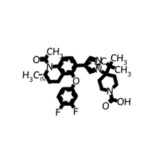 CC(=O)N1c2ccc(-c3cnn(C4(C(C)(C)C)CCN(C(=O)O)CC4)c3)c(Oc3ccc(F)c(F)c3)c2CC[C@@H]1C